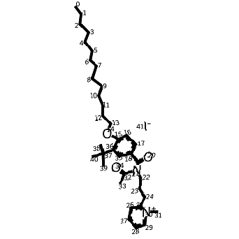 CCCCCCCCCCCCCCOc1ccc(C(=O)N(CCCc2cccc[n+]2C)C(C)=O)cc1C(C)(C)C.[I-]